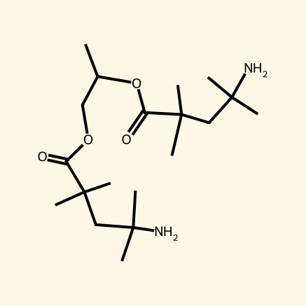 CC(COC(=O)C(C)(C)CC(C)(C)N)OC(=O)C(C)(C)CC(C)(C)N